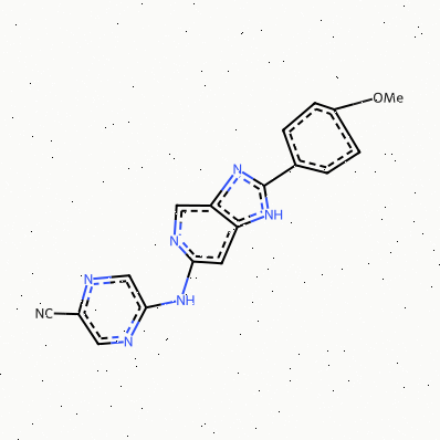 COc1ccc(-c2nc3cnc(Nc4cnc(C#N)cn4)cc3[nH]2)cc1